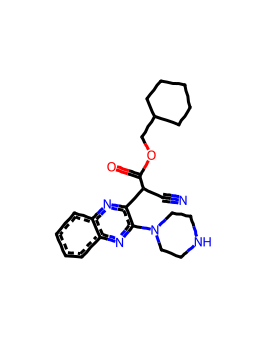 N#CC(C(=O)OCC1CCCCC1)c1nc2ccccc2nc1N1CCNCC1